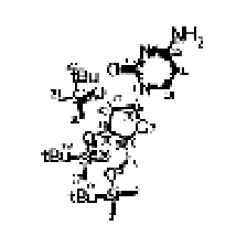 CC(C)(C)[Si](C)(C)OC[C@H]1O[C@@H](n2ccc(N)nc2=O)[C@@H](O[Si](C)(C)C(C)(C)C)[C@@H]1O[Si](C)(C)C(C)(C)C